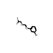 FC(F)COCOc1cccc(Br)c1